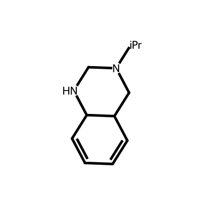 CC(C)N1CNC2C=CC=CC2C1